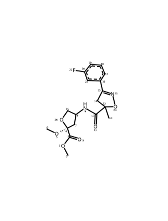 COC(=O)[C@]1(OC)CC(NC(=O)C2(C)CC(c3cccc(F)c3)=NO2)CO1